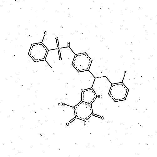 CCCCn1c(=O)[nH]c(=O)c2[nH]c(C(Cc3ccccc3F)c3ccc(NS(=O)(=O)c4c(C)cccc4Cl)cc3)nc21